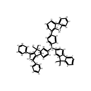 CC1(C)c2ccccc2-c2ccc(N(c3ccc(-c4cccc5c4oc4ccccc45)cc3)c3ccc4c(c3)C(C)(C)c3c(-c5ccccc5)sc(-c5ccccc5)c3-4)cc21